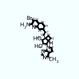 Cc1ncnc2c1ccn2[C@H]1[C@H](O)[C@H](O)[C@]2(CCc3ccc4cc(Br)c(N)nc4c3)CC[C@H]12